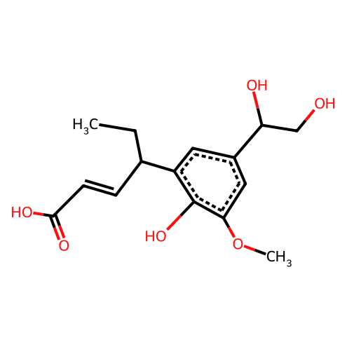 CCC(C=CC(=O)O)c1cc(C(O)CO)cc(OC)c1O